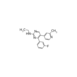 CCNc1ncc(-c2ccnc(C)c2)c(-c2cccc(F)c2)n1